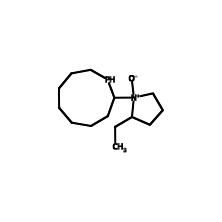 CCC1CCC[N+]1([O-])C1CCCCCCCP1